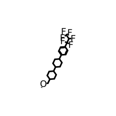 COCC1CCC(C2CCC(c3ccc(C(F)(F)C(F)C(F)(F)F)cc3)CC2)CC1